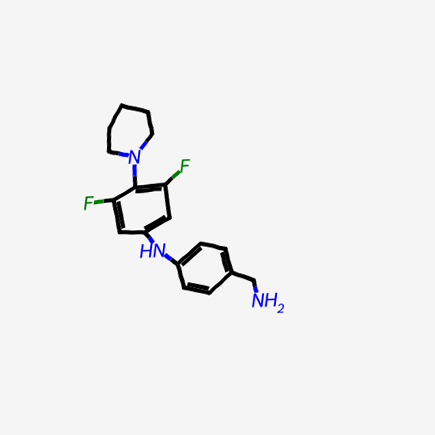 NCc1ccc(Nc2cc(F)c(N3CCCCC3)c(F)c2)cc1